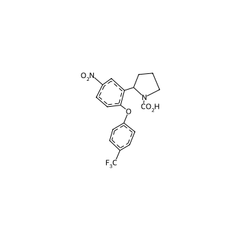 O=C(O)N1CCCC1c1cc([N+](=O)[O-])ccc1Oc1ccc(C(F)(F)F)cc1